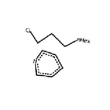 CCCCCCCCCCl.c1ccncc1